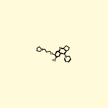 COc1cc2c(N3C=CC=CC3)c3c(nc2cc1OCCCN1CCCC1)CCC3